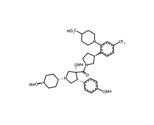 COc1ccc([C@@H]2CN([C@H]3CC[C@H](OC)CC3)C[C@@]2(OC)C(=O)N2CC[C@@H](c3ccc(C(F)(F)F)cc3N3CCC(C(=O)O)CC3)C2)cc1